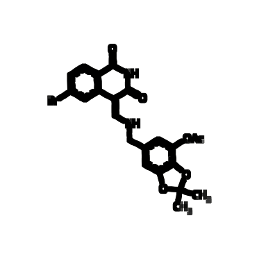 CC(=O)Oc1cc(CNC=C2C(=O)NC(=O)c3ccc(Br)cc32)cc2c1OC(C)(C)O2